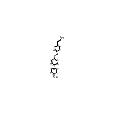 CCCC=Cc1ccc(CCc2ccc(C3CCC(CCCC)CC3)cc2)cc1